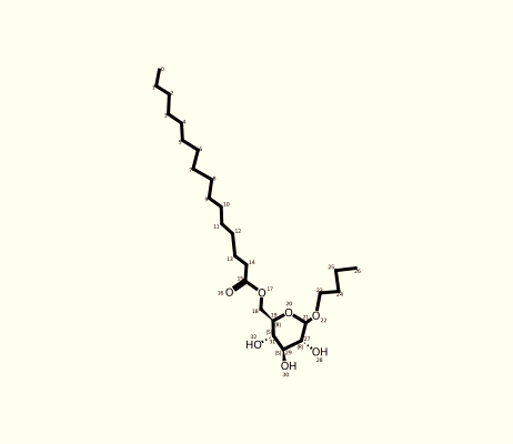 CCCCCCCCCCCCCCCC(=O)OC[C@H]1OC(OCCCC)[C@H](O)[C@@H](O)[C@@H]1O